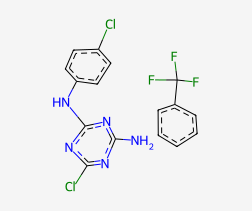 FC(F)(F)c1ccccc1.Nc1nc(Cl)nc(Nc2ccc(Cl)cc2)n1